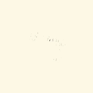 CCCCOC(=O)NC(CNC(=O)C1CC(CCCCNC2NC=CCN2)=NO1)C(=O)O